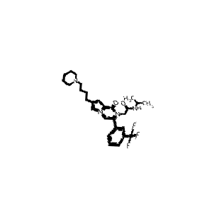 CC(C)NC(=O)Cn1c(-c2cccc(C(F)(F)F)c2)cn2cc(CCCCN3CCCCC3)cc2c1=O